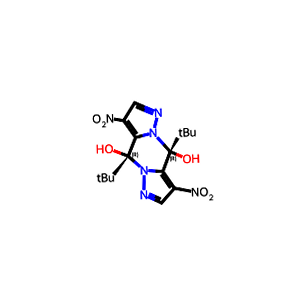 CC(C)(C)[C@@]1(O)c2c([N+](=O)[O-])cnn2[C@@](O)(C(C)(C)C)c2c([N+](=O)[O-])cnn21